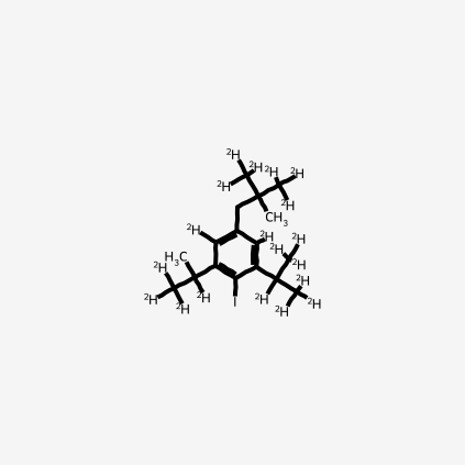 [2H]c1c(CC(C)(C([2H])([2H])[2H])C([2H])([2H])[2H])c([2H])c(C([2H])(C([2H])([2H])[2H])C([2H])([2H])[2H])c(I)c1C([2H])(C)C([2H])([2H])[2H]